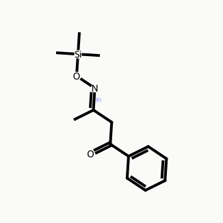 C/C(CC(=O)c1ccccc1)=N\O[Si](C)(C)C